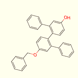 Oc1ccc(-c2ccc(OCc3ccccc3)cc2-c2ccccc2)c(-c2ccccc2)c1